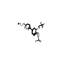 Nc1ccc(-c2ccc(OC(F)F)c(OCC(F)(F)F)c2)nn1